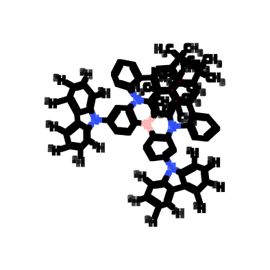 [2H]c1c([2H])c([2H])c2c(c1[2H])c1c([2H])c([2H])c([2H])c([2H])c1n2-c1ccc2c(c1)N(c1ccccc1-c1cc(C(C)(C)C)cc(C(C)(C)C)c1)c1cc(C(C)(C)C)cc3c1B2c1ccc(-n2c4c([2H])c([2H])c([2H])c([2H])c4c4c([2H])c([2H])c([2H])c([2H])c42)cc1N3c1ccccc1-c1cc(C(C)(C)C)cc(C(C)(C)C)c1